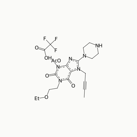 CC#CCn1c(N2CCNCC2)nc2c1c(=O)n(CCOCC)c(=O)n2OC(C)=O.O=C(O)C(F)(F)F